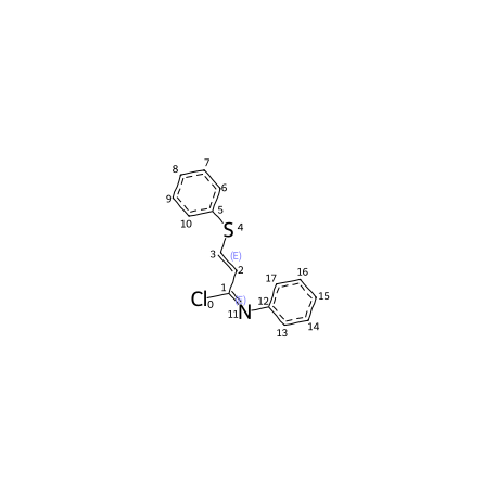 ClC(/C=C/Sc1ccccc1)=N/c1ccccc1